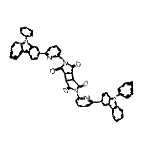 O=C1C2C(C(=O)N1c1cccc(-c3ccc4c(c3)c3ccccc3n4-c3ccccc3)n1)C1C(=O)N(c3cccc(-c4ccc5c6ccccc6n(-c6ccccc6)c5c4)n3)C(=O)C21